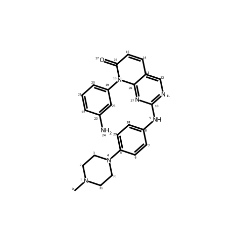 CN1CCN(c2ccc(Nc3ncc4ccc(=O)n(-c5cccc(N)c5)c4n3)cc2)CC1